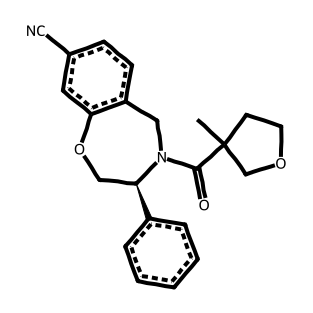 CC1(C(=O)N2Cc3ccc(C#N)cc3OC[C@@H]2c2ccccc2)CCOC1